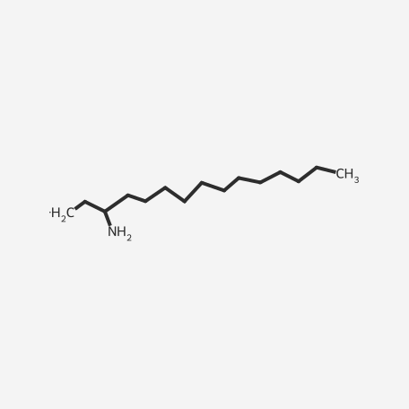 [CH2]CC(N)CCCCCCCCCCCC